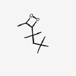 C[C]1OOC1C(C)(C)CC(C)(C)C